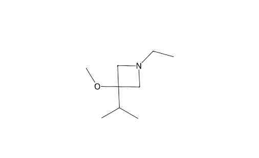 CCN1CC(OC)(C(C)C)C1